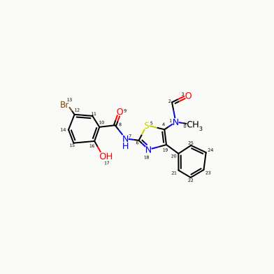 CN(C=O)c1sc(NC(=O)c2cc(Br)ccc2O)nc1-c1ccccc1